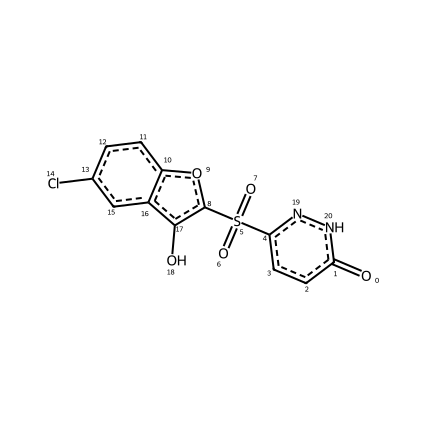 O=c1ccc(S(=O)(=O)c2oc3ccc(Cl)cc3c2O)n[nH]1